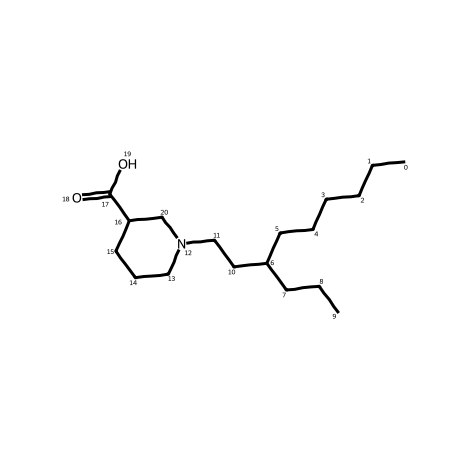 CCCCCCC(CCC)CCN1CCCC(C(=O)O)C1